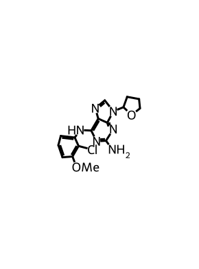 COc1cccc(Nc2nc(N)nc3c2ncn3C2CCCO2)c1Cl